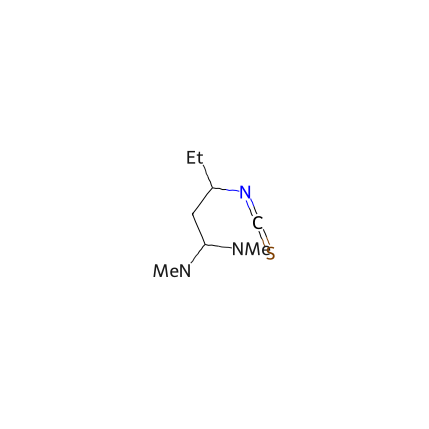 CCC(CC(NC)NC)N=C=S